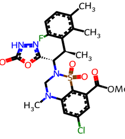 COC(=O)c1cc(Cl)cc2c1S(=O)(=O)N([C@H](c1n[nH]c(=O)o1)[C@H](C)c1c(F)ccc(C)c1C)CN2C